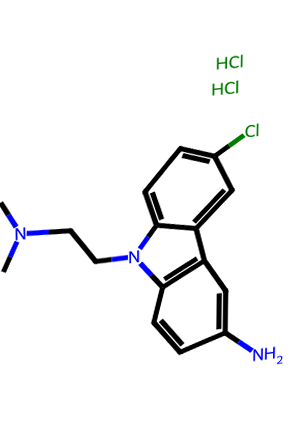 CN(C)CCn1c2ccc(N)cc2c2cc(Cl)ccc21.Cl.Cl